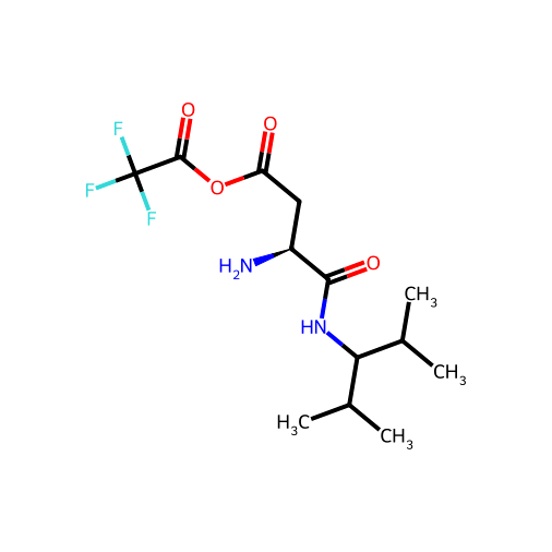 CC(C)C(NC(=O)[C@@H](N)CC(=O)OC(=O)C(F)(F)F)C(C)C